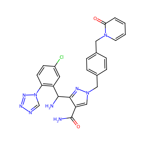 NC(=O)c1cn(Cc2ccc(Cn3ccccc3=O)cc2)nc1C(N)c1cc(Cl)ccc1-n1cnnn1